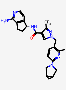 Cc1nc(N2CC3CC3C2)ccc1Cn1cc(C(=O)N[C@@H]2CCc3c2ccnc3N)c(C(F)(F)F)n1